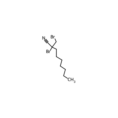 CCCCCCCC(Br)(C#N)CBr